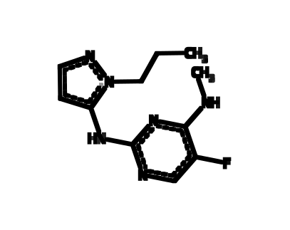 CCCn1nccc1Nc1ncc(F)c(NC)n1